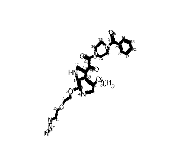 COc1cnc(OCCOCCN=[N+]=[N-])c2[nH]cc(C(=O)C(=O)N3CCN(C(=O)c4ccccc4)CC3)c12